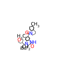 C=C(C1CCOCC1)N1/C(=C\C(C)CC)C(=O)Nc2cc(C(=O)N3CCCc4cc(C)ccc43)c(C)cc21